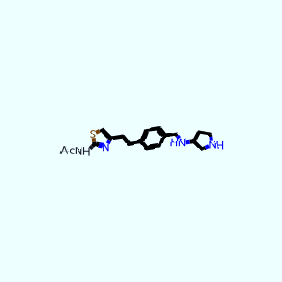 CC(=O)Nc1nc(CCc2ccc(CNC3CCNC3)cc2)cs1